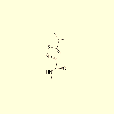 CNC(=O)c1cc(C(C)C)sn1